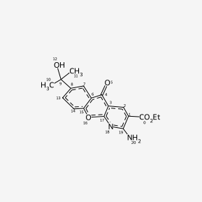 CCOC(=O)c1cc2c(=O)c3cc(C(C)(C)O)ccc3oc2nc1N